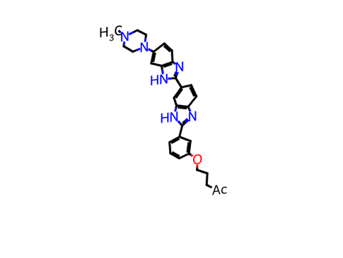 CC(=O)CCCOc1cccc(-c2nc3ccc(-c4nc5ccc(N6CCN(C)CC6)cc5[nH]4)cc3[nH]2)c1